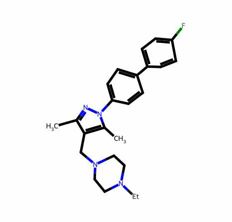 CCN1CCN(Cc2c(C)nn(-c3ccc(-c4ccc(F)cc4)cc3)c2C)CC1